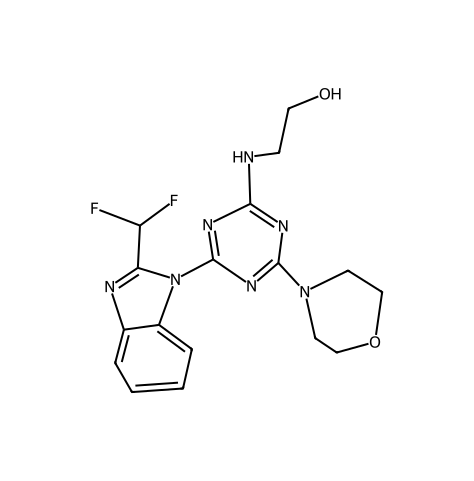 OCCNc1nc(N2CCOCC2)nc(-n2c(C(F)F)nc3ccccc32)n1